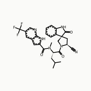 CC(C)C[C@@H](C(=O)N1C[C@]2(C[C@H]1C#N)C(=O)Nc1ccccc12)N(C)C(=O)c1cc2cc(C(F)(F)F)cnc2[nH]1